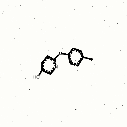 Oc1ccc(Oc2ccc(F)cc2)nc1